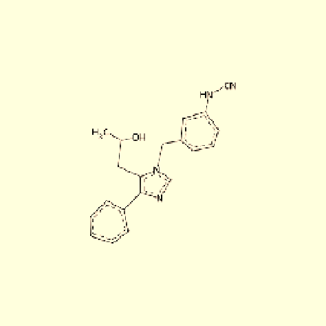 CC(O)Cc1c(-c2ccccc2)ncn1Cc1cccc(NC#N)c1